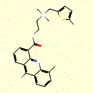 Cc1cccc2c(N)c3cccc(C(=O)NCC[N+](C)(C)Cc4ccc([N+](=O)[O-])s4)c3nc12.[Cl-]